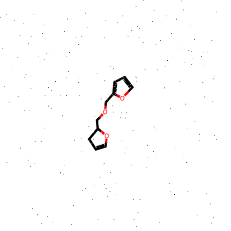 C1=COC(COCc2ccco2)C1